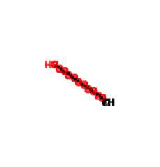 C#COCCOCCOCCOCCOCCOCCOCCOCCOCCOCCO